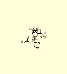 CC1(C)C2CCC1(CS(=O)(=O)[O-])C(=O)C2.C[S+](CC(=O)C(C)(C)C)C1CCCCC1